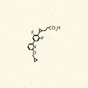 O=C(O)CCC1CC1c1c(F)cc(-c2cccc(OCC3CC3)n2)cc1F